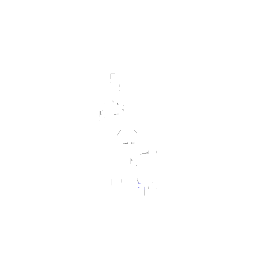 C/C(CNC(=O)c1ccc(-c2noc(C(F)(F)F)n2)cc1)=N/OCC1CC1